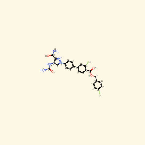 NC(=O)Nc1cn(-c2ccc(-c3ccc(C(=O)OCc4ccc(F)cc4)c(F)c3)cc2)nc1C(N)=O